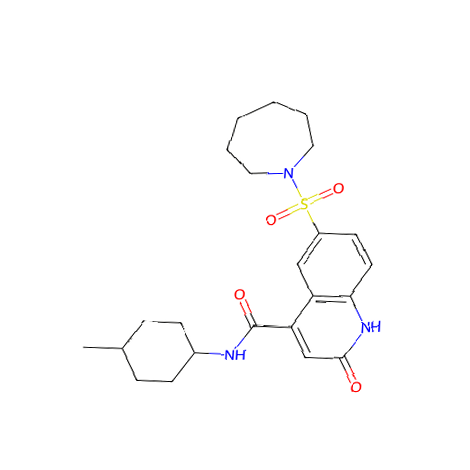 CC1CCC(NC(=O)c2cc(=O)[nH]c3ccc(S(=O)(=O)N4CCCCCC4)cc23)CC1